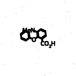 CNc1cccc(C(=O)O)c1Oc1ccccc1